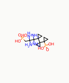 NC(N)(CP(=O)(O)O)C(N)(N)C1(C2(C3(P(=O)(O)O)CC3)CC2)CC1